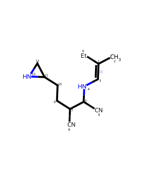 CC/C(C)=C\NC(C#N)C(C#N)CCC1CN1